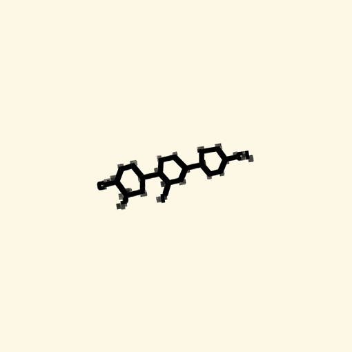 CC1CCC(C2CCC(C3CCC(Cl)[C@H](F)C3)C(F)C2)CC1